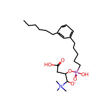 CCCCCCc1cccc(CCCCCP(=O)(O)OC(CC(=O)O)C([O-])[N+](C)(C)C)c1